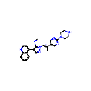 C=Nc1c(-c2ccnc3ccccc23)cnn1/C=C(\C)c1cnc(N2CCNCC2)nc1